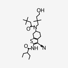 CCC(CC)C(=O)Nc1sc2c(c1C#N)CCC(N(CC(C)(C)CCO)C(=O)CC(C)(C)C)C2